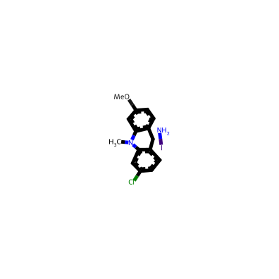 COc1ccc2c(c1)N(C)c1cc(Cl)ccc1C2.NI